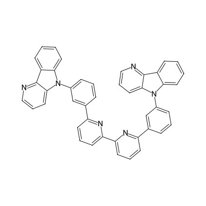 c1cc(-c2cccc(-c3cccc(-c4cccc(-n5c6ccccc6c6ncccc65)c4)n3)n2)cc(-n2c3ccccc3c3ncccc32)c1